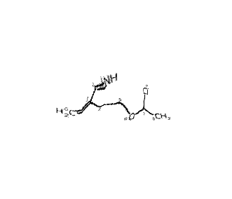 C=C(C=N)CCOC(C)Cl